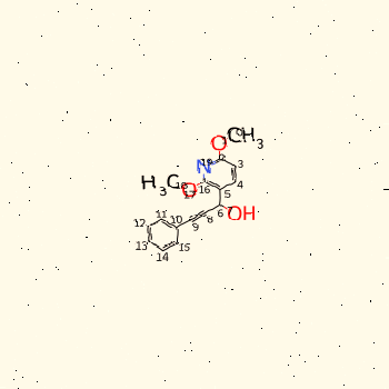 COc1ccc(C(O)C#Cc2ccccc2)c(OC)n1